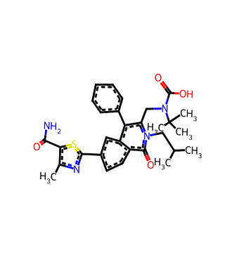 Cc1nc(-c2ccc3c(=O)n(CC(C)C)c(CN(C(=O)O)C(C)(C)C)c(-c4ccccc4)c3c2)sc1C(N)=O